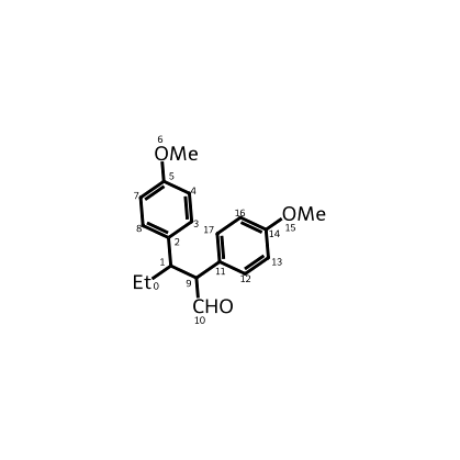 CCC(c1ccc(OC)cc1)C(C=O)c1ccc(OC)cc1